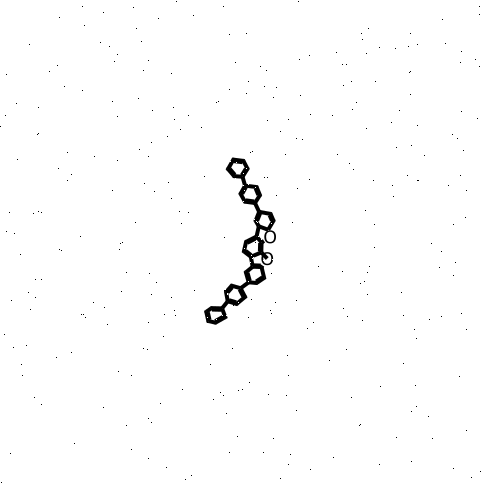 C1=CC2Oc3c(ccc4c3oc3ccc(-c5ccc(-c6ccccc6)cc5)cc34)C2C=C1c1ccc(-c2ccccc2)cc1